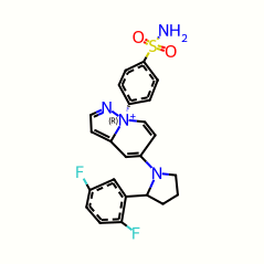 NS(=O)(=O)c1ccc([N@+]23C=CC(N4CCCC4c4cc(F)ccc4F)=CC2=CC=N3)cc1